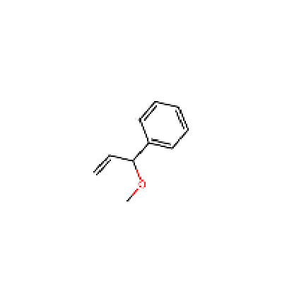 C=CC(OC)c1[c]cccc1